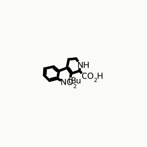 CC(C)(C)C1=C(c2ccccc2[N+](=O)[O-])CCNC1C(=O)O